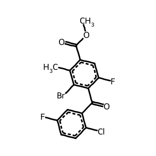 COC(=O)c1cc(F)c(C(=O)c2cc(F)ccc2Cl)c(Br)c1C